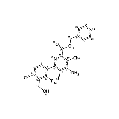 Nc1c(F)c(-c2ccc(Cl)c(CO)c2F)nc(C(=O)OCc2ccccc2)c1Cl